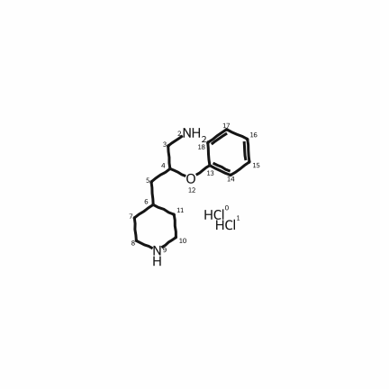 Cl.Cl.NCC(CC1CCNCC1)Oc1ccccc1